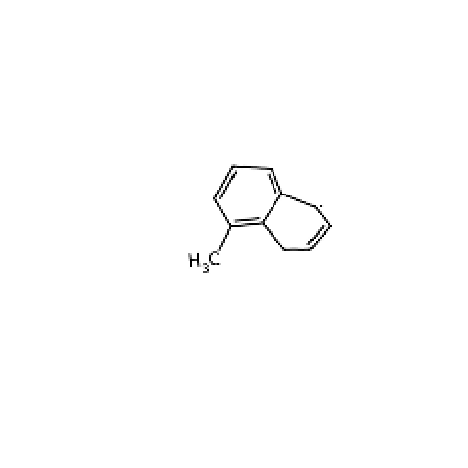 Cc1cccc2c1CC=C[CH]2